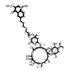 CCCCn1cc(C(=O)O)c(=O)c2cc(CCCOCCO[C@H]3[C@H](C)OC(O[C@H]4[C@H](C)[C@@H](O[C@@H]5O[C@H](C)C[C@H](N(C)C)[C@H]5O)[C@](C)(O)C[C@@H](C)CN(C)[C@H](C)[C@H](O)[C@](C)(O)[C@@H](CC)OC(=O)[C@@H]4C)C[C@@]3(C)OC)ccc21